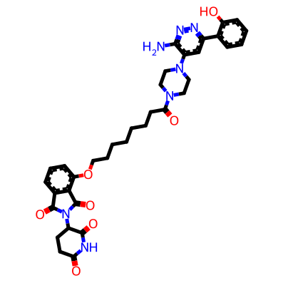 Nc1nnc(-c2ccccc2O)cc1N1CCN(C(=O)CCCCCCCOc2cccc3c2C(=O)N(C2CCC(=O)NC2=O)C3=O)CC1